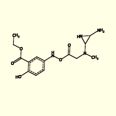 CCOC(=O)c1cc(NOC(=O)CN(C)C2NC2N)ccc1O